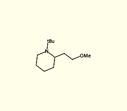 COCCC1CCCCN1C(C)(C)C